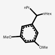 CCCCCCC(CCC)c1cc(OC)cc(OC)c1